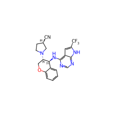 N#C[C@@H]1CCN([C@H]2COc3ccccc3[C@@H]2Nc2ncnc3[nH]c(C(F)(F)F)cc23)C1